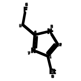 CCC1=[C][N]C(CF)=N1